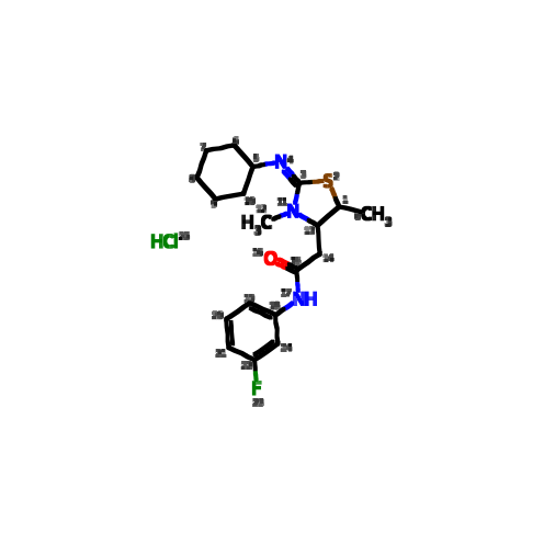 CC1SC(=NC2CCCCC2)N(C)C1CC(=O)Nc1cccc(F)c1.Cl